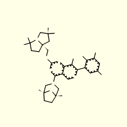 [2H]C1([2H])CC[C@@]2(COc3nc(N4C[C@H]5CC[C@@H](C4)N5)c4cnc(-c5cc(O)cc(Cl)c5C(F)(F)F)c(F)c4n3)C[C@@]([2H])(F)CN12